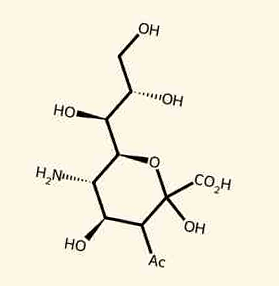 CC(=O)C1[C@@H](O)[C@H](N)[C@@H]([C@@H](O)[C@@H](O)CO)OC1(O)C(=O)O